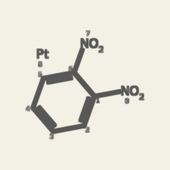 O=[N+]([O-])c1ccccc1[N+](=O)[O-].[Pt]